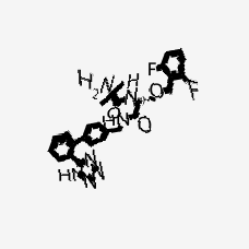 CC(C)(N)C(=O)N[C@H](COCc1c(F)cccc1F)C(=O)NCc1ccc(-c2ccccc2-c2nnn[nH]2)cc1